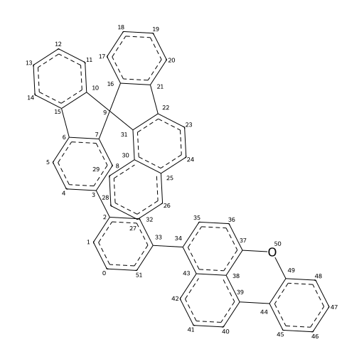 c1cc(-c2ccc3c(c2)C2(c4ccccc4-3)c3ccccc3-c3ccc4ccccc4c32)cc(-c2ccc3c4c(cccc24)-c2ccccc2O3)c1